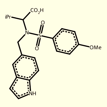 COc1ccc(S(=O)(=O)N(Cc2ccc3[nH]ccc3c2)C(C(=O)O)C(C)C)cc1